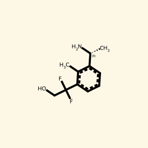 Cc1c([C@@H](C)N)cccc1C(F)(F)CO